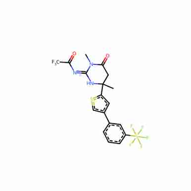 CN1C(=O)CC(C)(c2cc(-c3cccc(S(F)(F)(F)(F)F)c3)cs2)N/C1=N/C(=O)C(F)(F)F